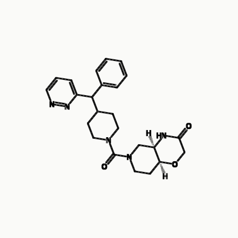 O=C1CO[C@H]2CCN(C(=O)N3CCC(C(c4ccccc4)c4cccnn4)CC3)C[C@H]2N1